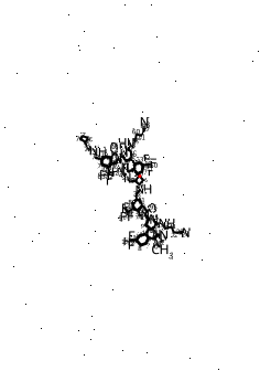 Cn1cnnc1-c1ccc(C(F)(F)F)cc1-c1cc(NCCCC#N)nc(N2Cc3c(cc(CNC4CCC4Cn4cnnc4-c4ccc(C(F)(F)F)cc4-c4cc(NCCCC#N)nc(N5Cc6c(cc(CNCC7CCC7)cc6C(F)(F)F)C5=O)c4)cc3C(F)(F)F)C2=O)c1